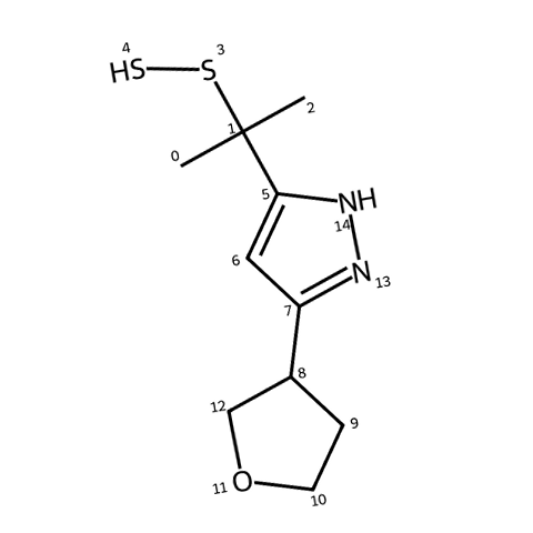 CC(C)(SS)c1cc(C2CCOC2)n[nH]1